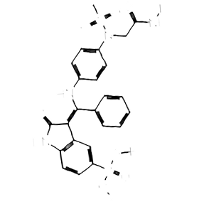 CCNC(=O)CN(c1ccc(N/C(=C2\C(=O)Nc3ccc(P(=O)(OCC)OCC)cc32)c2ccccc2)cc1)S(C)(=O)=O